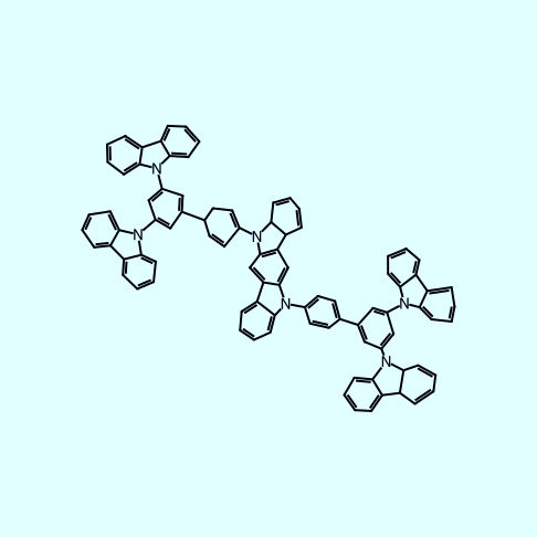 C1=CC2c3cc4c(cc3N(C3=CCC(c5cc(-n6c7ccccc7c7ccccc76)cc(-n6c7ccccc7c7ccccc76)c5)C=C3)C2C=C1)c1ccccc1n4-c1ccc(-c2cc(N3c4ccccc4C4C=CC=CC43)cc(-n3c4ccccc4c4ccccc43)c2)cc1